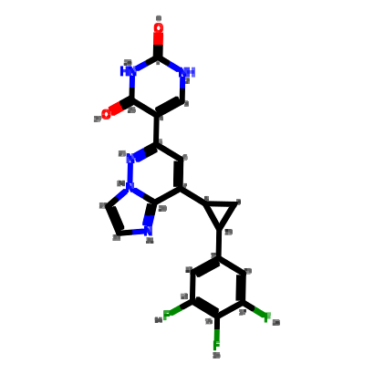 O=c1[nH]cc(-c2cc(C3CC3c3cc(F)c(F)c(F)c3)c3nccn3n2)c(=O)[nH]1